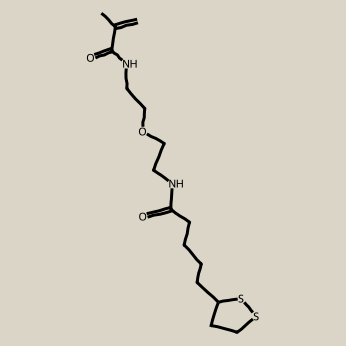 C=C(C)C(=O)NCCOCCNC(=O)CCCCC1CCSS1